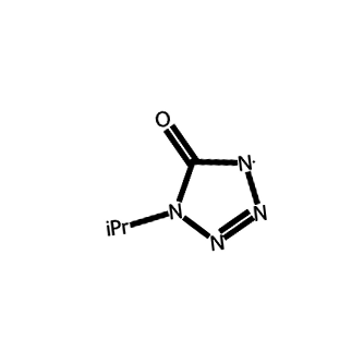 CC(C)N1N=N[N]C1=O